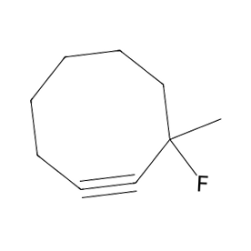 CC1(F)C#CCCCCC1